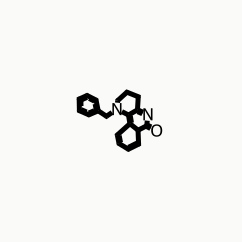 O=C1N=C2CCCN(Cc3ccccc3)C2=C2C=CC=CC12